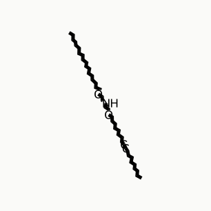 CCCCCCCCCCCCCCCCCCCOCCNCCOCCCCCCCCCCCCCCCCCC